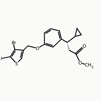 COC(=O)C[C@H](c1cccc(OCc2csc(I)c2Br)c1)C1CC1